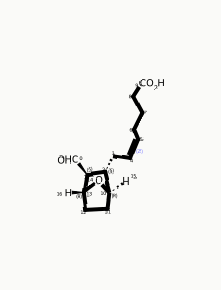 O=C[C@H]1[C@H](C/C=C\CCCC(=O)O)[C@H]2CC[C@H]1O2